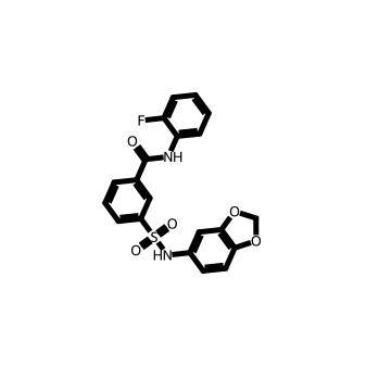 O=C(Nc1ccccc1F)c1cccc(S(=O)(=O)Nc2ccc3c(c2)OCO3)c1